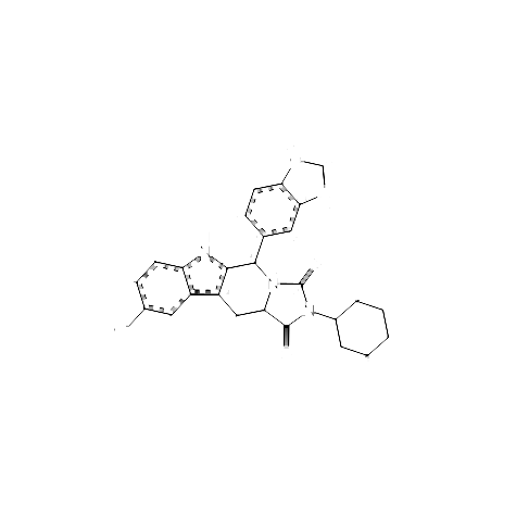 O=C1C2Cc3c([nH]c4ccc(Cl)cc34)C(c3ccc4c(c3)OCO4)N2C(=S)N1C1CCCCC1